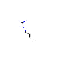 CC=CC=NNC(=N)N